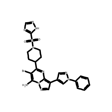 Nc1c(Br)c(C2CCN(S(=O)(=O)c3ncn[nH]3)CC2)nc2c(-c3cnn(-c4ccccc4)c3)cnn12